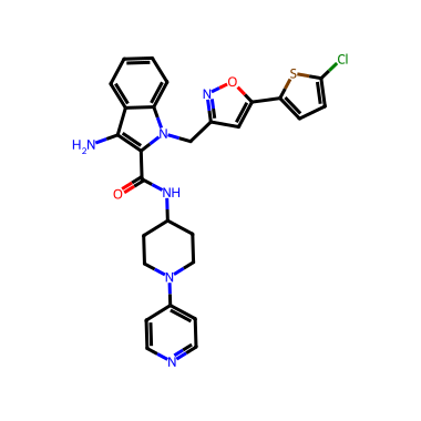 Nc1c(C(=O)NC2CCN(c3ccncc3)CC2)n(Cc2cc(-c3ccc(Cl)s3)on2)c2ccccc12